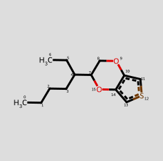 CCCCC(CC)C1COc2cscc2O1